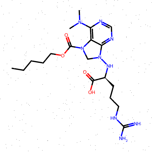 CCCCCOC(=O)N1CN(N[C@@H](CCCNC(=N)N)C(=O)O)c2ncnc(N(C)C)c21